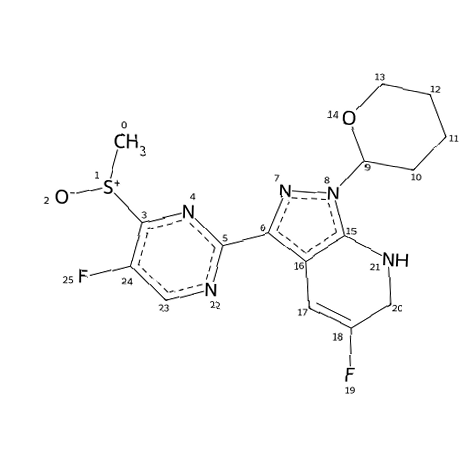 C[S+]([O-])c1nc(-c2nn(C3CCCCO3)c3c2C=C(F)CN3)ncc1F